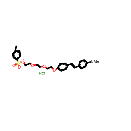 CNc1ccc(C=Cc2ccc(OCCOCCOCCOS(=O)(=O)c3ccc(C)cc3)cc2)cc1.Cl